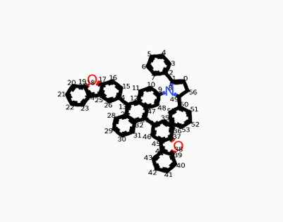 C1=C(c2ccccc2)N(c2ccc3c(-c4ccc5oc6ccccc6c5c4)c4ccccc4c(-c4ccc5oc6ccccc6c5c4)c3c2)C(c2ccccc2)C1